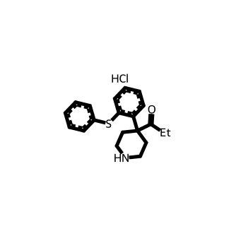 CCC(=O)C1(c2ccccc2Sc2ccccc2)CCNCC1.Cl